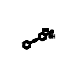 O=P(O)(O)c1ccc(C#Cc2c[c]ccc2)cc1